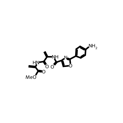 C=C(NC(=O)c1coc(-c2ccc(N)cc2)n1)C(=O)NC(=C)C(=O)OC